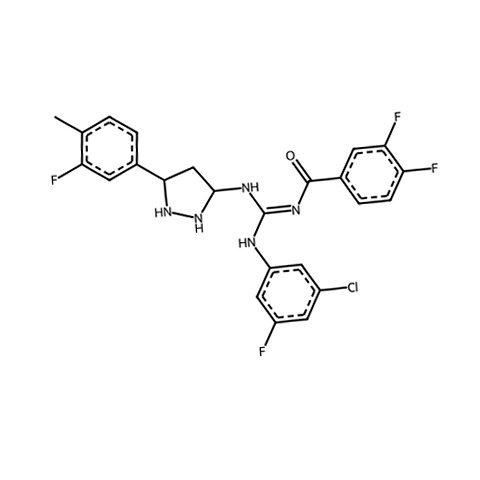 Cc1ccc(C2CC(N/C(=N\C(=O)c3ccc(F)c(F)c3)Nc3cc(F)cc(Cl)c3)NN2)cc1F